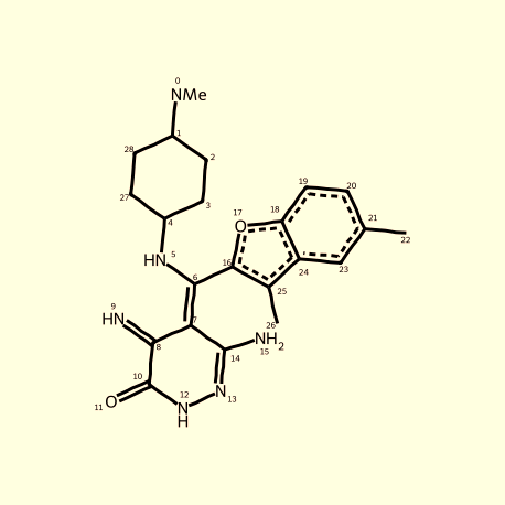 CNC1CCC(N/C(=C2\C(=N)C(=O)NN=C2N)c2oc3ccc(C)cc3c2C)CC1